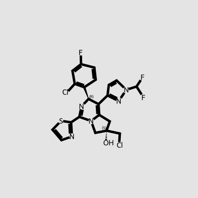 O[C@@]1(CCl)CC2=C(c3ccn(C(F)F)n3)[C@H](c3ccc(F)cc3Cl)N=C(c3nccs3)N2C1